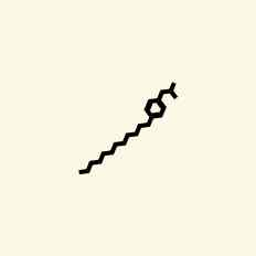 CCCCCCCCCCCCc1ccc(CC(C)C)cc1